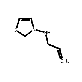 C=CCNN1C=CSC1